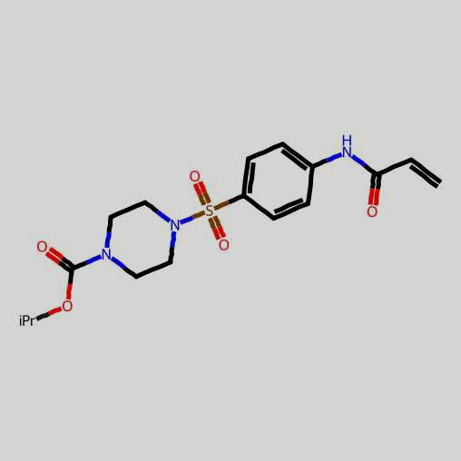 C=CC(=O)Nc1ccc(S(=O)(=O)N2CCN(C(=O)OC(C)C)CC2)cc1